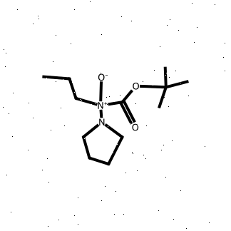 CCC[N+]([O-])(C(=O)OC(C)(C)C)N1CCCC1